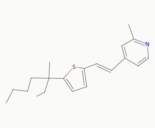 CCCCC(C)(CC)c1ccc(/C=C/c2ccnc(C)c2)s1